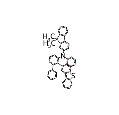 CC1(C)c2ccccc2-c2ccc(N(c3ccccc3)c3cccc(-c4ccccc4)c3-c3ccc4sc5ccccc5c4c3)cc21